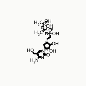 C=P(O)(O)OP(=C)(O)OP(=O)(O)CC[C@H]1C[C@@H](n2cc(CO)c(N)nc2=O)[C@@H](O)C1O